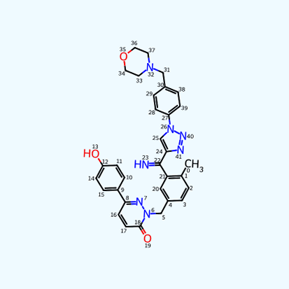 Cc1ccc(Cn2nc(-c3ccc(O)cc3)ccc2=O)cc1C(=N)c1cn(-c2ccc(CN3CCOCC3)cc2)nn1